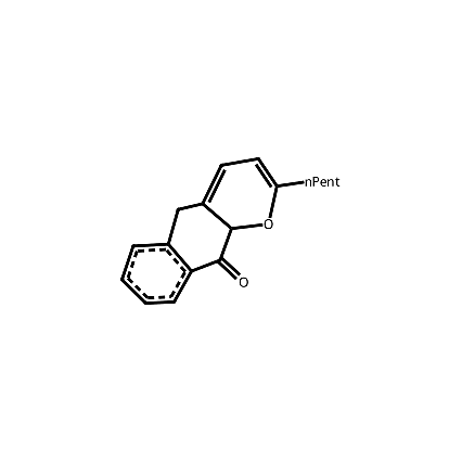 CCCCCC1=CC=C2Cc3ccccc3C(=O)C2O1